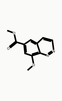 COC(=O)c1cc(OC)c2nnccc2c1